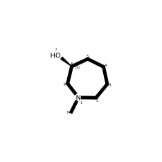 CN1CCCC[C@H](O)C1